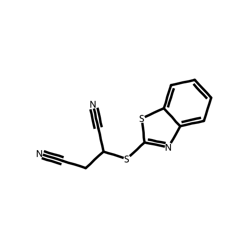 N#CCC(C#N)Sc1nc2ccccc2s1